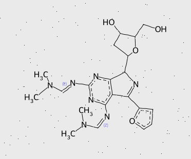 CN(C)/C=N\c1nc(/N=C/N(C)C)nc2c1C(c1ccco1)=NC2C1CC(O)C(CO)O1